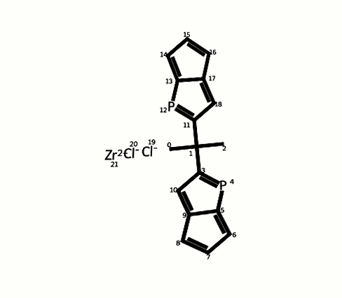 CC(C)(C1=PC2=CC=CC2=C1)C1=PC2=CC=CC2=C1.[Cl-].[Cl-].[Zr+2]